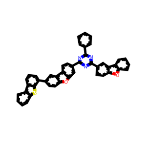 c1ccc(-c2nc(-c3ccc4c(c3)oc3ccc(-c5cccc6c5sc5ccccc56)cc34)nc(-c3ccc4oc5ccccc5c4c3)n2)cc1